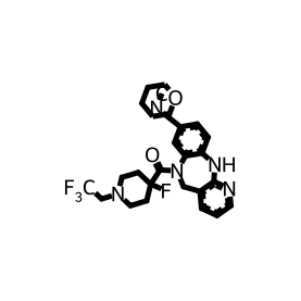 O=C(N1Cc2cccnc2Nc2ccc(N3CC4CCC3CO4)cc21)C1(F)CCN(CC(F)(F)F)CC1